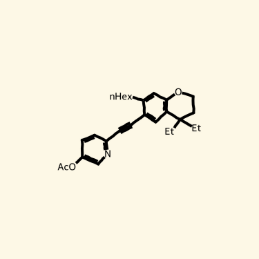 CCCCCCc1cc2c(cc1C#Cc1ccc(OC(C)=O)cn1)C(CC)(CC)CCO2